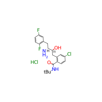 CC(C)(C)NC(=O)c1ccc(Cl)cc1C[C@H](O)[C@H](N)Cc1cc(F)ccc1F.Cl